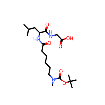 CC(C)CC(NC(=O)CCCCCN(C)C(=O)OC(C)(C)C)C(=O)NCC(=O)O